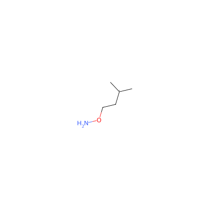 C[C](C)CCON